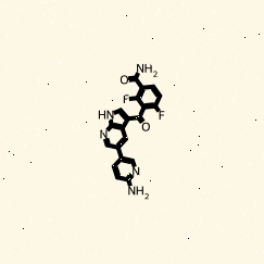 NC(=O)c1ccc(F)c(C(=O)c2c[nH]c3ncc(-c4ccc(N)nc4)cc23)c1F